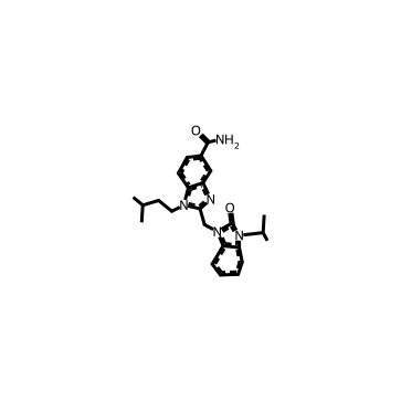 CC(C)CCn1c(Cn2c(=O)n(C(C)C)c3ccccc32)nc2cc(C(N)=O)ccc21